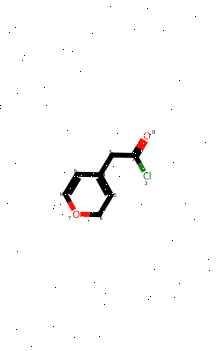 O=C(Cl)CC1=CCOC=C1